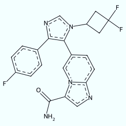 NC(=O)c1cnc2ccc(-c3c(-c4ccc(F)cc4)ncn3C3CC(F)(F)C3)cn12